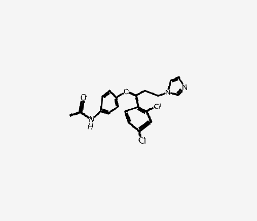 CC(=O)Nc1ccc(OC(CCn2ccnc2)c2ccc(Cl)cc2Cl)cc1